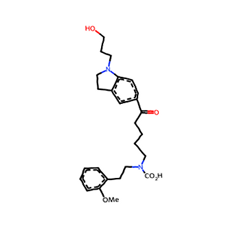 COc1ccccc1CCN(CCCCC(=O)c1ccc2c(c1)CCN2CCCO)C(=O)O